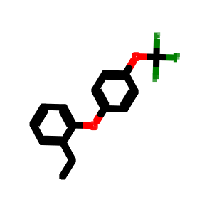 CCc1ccccc1Oc1ccc(OC(F)(F)F)cc1